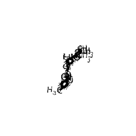 Cc1ccc(S(=O)(=O)OCCOc2ccc(NC(=O)OC(C)(C)C)cc2)cc1